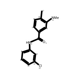 CNc1cc(C(=O)Nc2cccc(Cl)c2)ccc1C